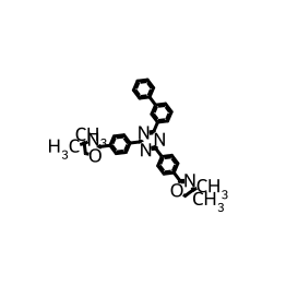 CC1(C)COC(c2ccc(-c3nc(-c4ccc(C5=NC(C)(C)CO5)cc4)nc(-c4cccc(-c5ccccc5)c4)n3)cc2)=N1